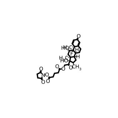 C[C@@H]1C[C@H]2[C@@H]3CCC4=CC(=O)C=C[C@]4(C)[C@@]3(F)[C@@H](O)C[C@]2(C)[C@@]1(O)C(=O)COC(=O)CCCC(=O)ON1C(=O)CCC1=O